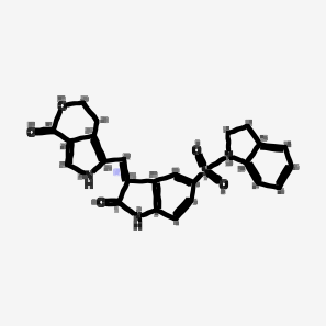 O=C1Nc2ccc(S(=O)(=O)N3CCc4ccccc43)cc2/C1=C/c1[nH]cc2c1CCOC2=O